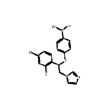 CCN(CC)c1ccc(OC(Cn2ccnc2)c2ccc(Cl)cc2Cl)cc1